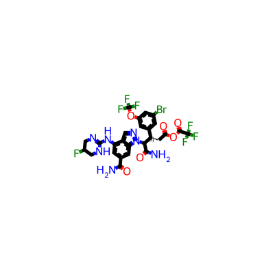 NC(=O)c1cc(NC2=NCC(F)CN2)c2cnn(C(C(N)=O)[C@@H](CC(=O)OC(=O)C(F)(F)F)c3cc(Br)cc(OC(F)(F)F)c3)c2c1